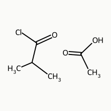 CC(=O)O.CC(C)C(=O)Cl